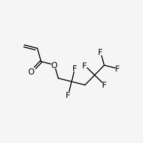 C=CC(=O)OCC(F)(F)CC(F)(F)C(F)F